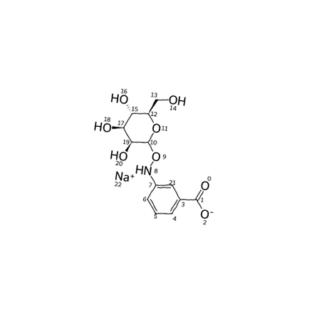 O=C([O-])c1cccc(NOC2O[C@H](CO)[C@@H](O)[C@H](O)[C@@H]2O)c1.[Na+]